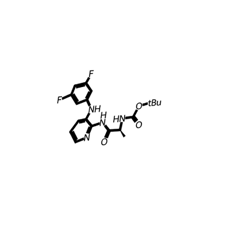 C[C@H](NC(=O)OC(C)(C)C)C(=O)Nc1ncccc1Nc1cc(F)cc(F)c1